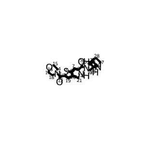 C[C@H]1[C@H](NC(=O)c2cc3sc(C(=O)N4CCOCC4)cc3cn2)C2CCN1CC2